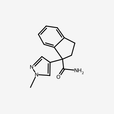 Cn1cc(C2(C(N)=O)CCc3ccccc32)cn1